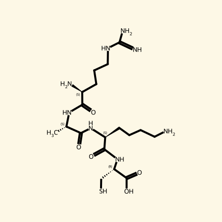 C[C@H](NC(=O)[C@@H](N)CCCNC(=N)N)C(=O)N[C@@H](CCCCN)C(=O)N[C@@H](CS)C(=O)O